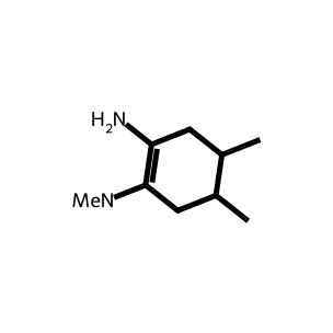 CNC1=C(N)CC(C)C(C)C1